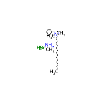 Br.CCCCCCCCCCCCCCCC[N+](C)(C)Cc1ccccc1.CCN.[Br-]